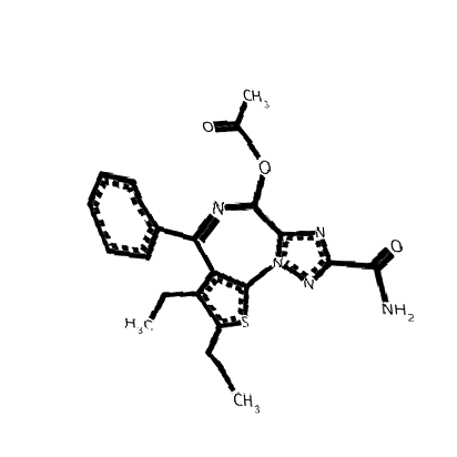 CCc1sc2c(c1CC)C(c1ccccc1)=NC(OC(C)=O)c1nc(C(N)=O)nn1-2